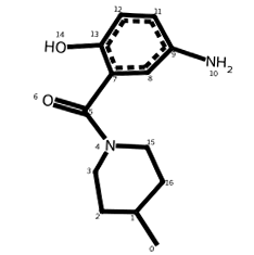 CC1CCN(C(=O)c2cc(N)ccc2O)CC1